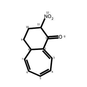 O=C1C2=CC=CC=CC2CCC1[N+](=O)[O-]